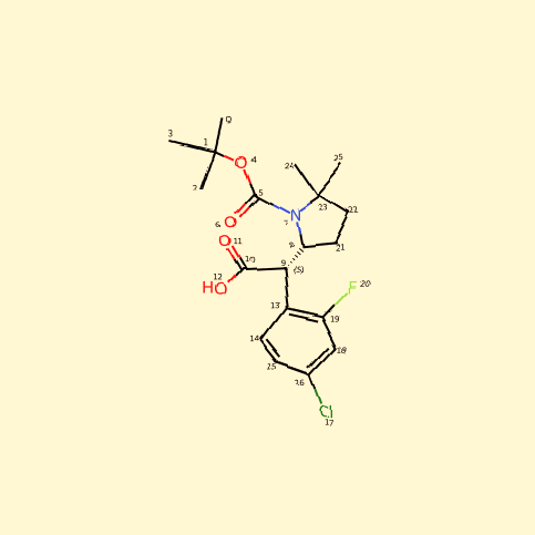 CC(C)(C)OC(=O)N1C([C@@H](C(=O)O)c2ccc(Cl)cc2F)CCC1(C)C